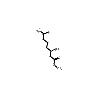 COC(=O)C[C@H](O)CCCC(C)C